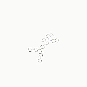 c1ccc(-c2ccc(-c3sc4cc(-c5ccc(N(c6ccc7ccccc7c6)c6cccc7ccccc67)c6ccccc56)ccc4c3-c3ccc(-c4ccccc4)cc3)cc2)cc1